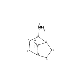 CN1C2C[CH]C(N)C1CC2